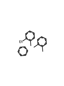 CCc1ccccc1C.Cc1ccccc1C.c1ccccc1